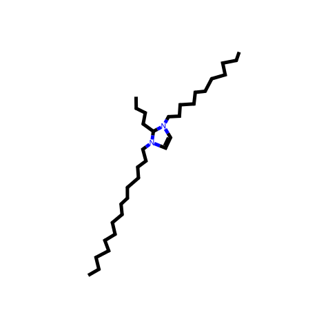 CCCCCCCCCCCCCCCN1C=CN(CCCCCCCCCCC)C1CCCC